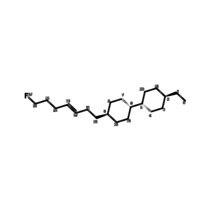 CC[C@H]1CC[C@H]([C@H]2CC[C@H](CCC=CCCCF)CC2)CC1